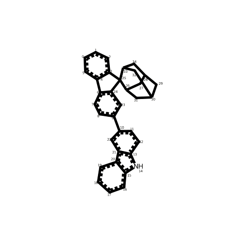 c1ccc2c(c1)-c1ccc(-c3ccc4[nH]c5ccccc5c4c3)cc1C21C2CC3CC(C2)CC1C3